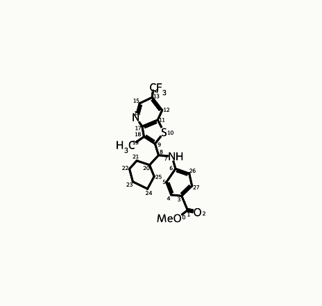 COC(=O)c1ccc(NC(c2sc3cc(C(F)(F)F)cnc3c2C)C2CCCCC2)cc1